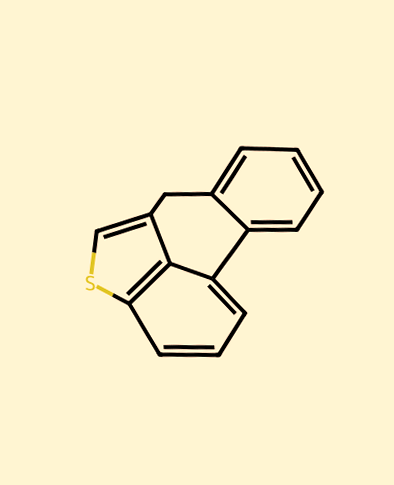 c1ccc2c(c1)Cc1csc3cccc-2c13